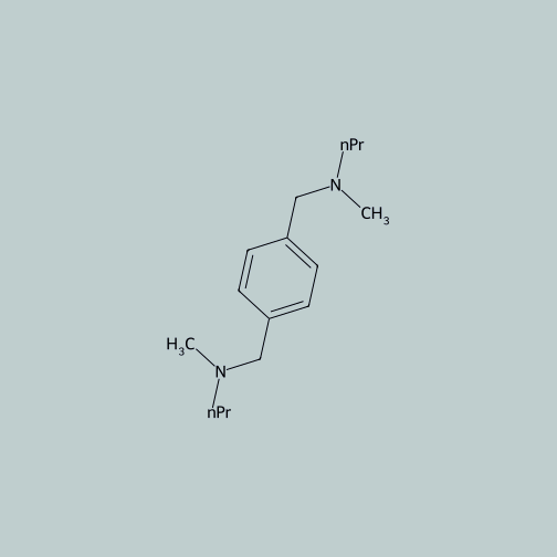 CCCN(C)Cc1ccc(CN(C)CCC)cc1